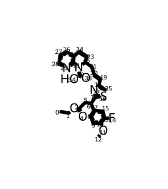 CCOC(=O)CC(c1ccc(OC)c(F)c1)c1nc(C=CCC2C=Cc3cccnc3N2C(=O)O)cs1